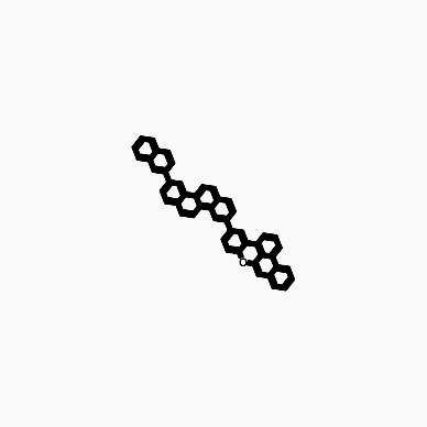 c1ccc2cc(-c3ccc4ccc5c6cc(-c7ccc8c(c7)-c7cccc9c7c(cc7ccccc79)O8)ccc6ccc5c4c3)ccc2c1